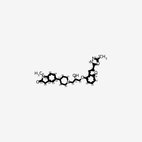 Cc1nnc(-c2cc3c(OC[C@@H](O)CN4CCC(c5ccc6c(c5)CC(=O)N6C)CC4)cccc3o2)o1